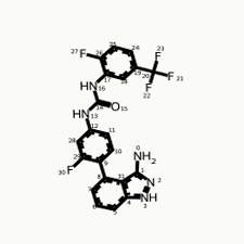 Nc1n[nH]c2cccc(-c3ccc(NC(=O)Nc4cc(C(F)(F)F)ccc4F)cc3F)c12